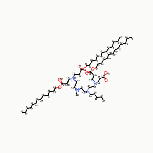 CCCCCCCCCCCCCOC(=O)CCN(CCC(=O)OCCCCCCCCCCCCC)CCN(C)CCN(CCCCC)CCN(CCC(=O)OC)CCC(=O)OCCCCCCCCCCCCC